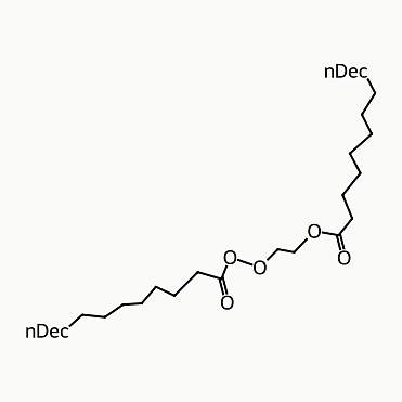 CCCCCCCCCCCCCCCCCC(=O)OCCOOC(=O)CCCCCCCCCCCCCCCCC